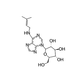 CC(C)=CCNc1ncn(C2O[C@H](CO)[C@@H](O)[C@H](O)[C@H]2O)c2ncnc1-2